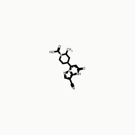 CC1CC(c2cc(=O)[nH]c3c(C#N)cnn23)CCN1C(=O)O